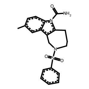 Cc1ccc2c(c1)c1c(n2C(N)=O)CCCN(S(=O)(=O)c2ccccc2)C1